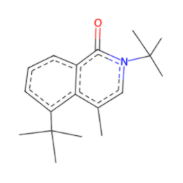 Cc1cn(C(C)(C)C)c(=O)c2cccc(C(C)(C)C)c12